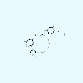 Cc1cc2cc(n1)-c1cnn(C)c1OCCC[C@@H](C)CN1/C(=N/C2=O)Nc2cc(F)c(C(C)C)cc21